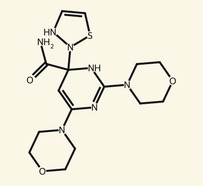 NC(=O)C1(N2NC=CS2)C=C(N2CCOCC2)N=C(N2CCOCC2)N1